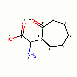 NC(C(=O)O)[C@H]1CCCCCC1=O